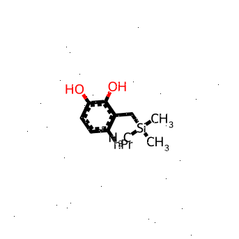 CCCc1ccc(O)c(O)c1C[Si](C)(C)C